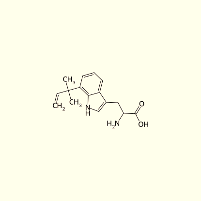 C=CC(C)(C)c1cccc2c(CC(N)C(=O)O)c[nH]c12